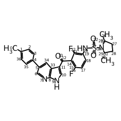 Cc1ccc(-c2cnc3[nH]cc(C(=O)c4c(F)ccc(NS(=O)(=O)N5[C@@H](C)CC[C@@H]5C)c4F)c3c2)cc1